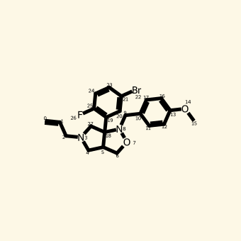 C=CCN1CC2CON(Cc3ccc(OC)cc3)C2(c2cc(Br)ccc2F)C1